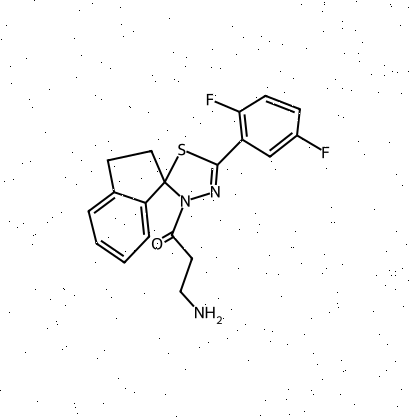 NCCC(=O)N1N=C(c2cc(F)ccc2F)SC12CCc1ccccc12